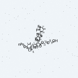 CCCOc1ccc(-c2cc(C(C(=O)OCCOCCO)n3cc4nc(-c5cccc(F)c5F)nc-4cn3)on2)c(C(F)(F)F)c1